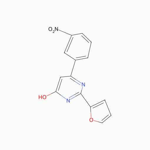 O=[N+]([O-])c1cccc(-c2cc(O)nc(-c3ccco3)n2)c1